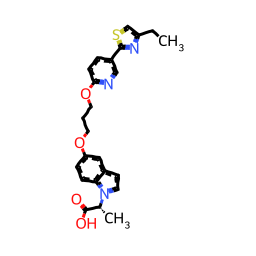 CCc1csc(-c2ccc(OCCCOc3ccc4c(ccn4[C@H](C)C(=O)O)c3)nc2)n1